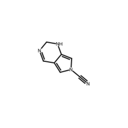 N#Cn1cc2c(c1)NCN=C2